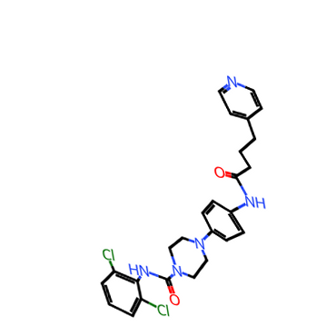 O=C(CCCc1ccncc1)Nc1ccc(N2CCN(C(=O)Nc3c(Cl)cccc3Cl)CC2)cc1